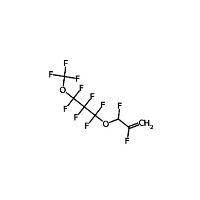 C=C(F)C(F)OC(F)(F)C(F)(F)C(F)(F)OC(F)(F)F